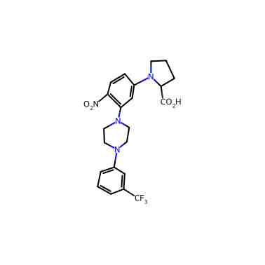 O=C(O)C1CCCN1c1ccc([N+](=O)[O-])c(N2CCN(c3cccc(C(F)(F)F)c3)CC2)c1